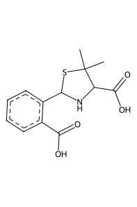 CC1(C)SC(c2ccccc2C(=O)O)NC1C(=O)O